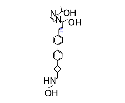 CC(O)c1nccn1C(/C=C/c1ccc(-c2ccc(C3CC(CNCCO)C3)cc2)cc1)CO